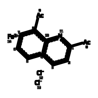 CC(=O)c1ccc2cccc(C(C)=O)c2n1.[Cl-].[Cl-].[Fe+2]